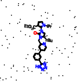 CCCCc1cn(-c2c(C(=O)OCC)ccn2C(C)C)c(=O)n1Cc1cc(-c2cccc(-c3nnn[nH]3)c2)ccn1